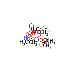 CCC(C)(C)C(=O)Oc1ccc(C[C@](NC(C)C)(OC(=O)OC2CCCCC2)C(=O)O)cc1OC(=O)C(C)(C)CC